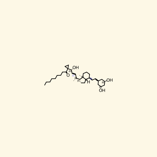 CCCCCCCCC(=O)C1([C@H](O)/C=C/[C@@H](C)[C@H]2CC[C@H]3/C(=C/C=C4C[C@@H](O)C[C@H](O)C4)CCC[C@]23C)CC1